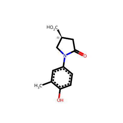 Cc1cc(N2C[C@@H](C(=O)O)CC2=O)ccc1O